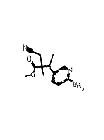 Bc1ccc(C(C)C(C)(CC#N)C(=O)OC)cn1